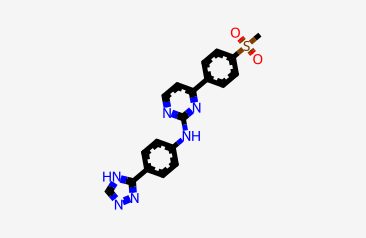 CS(=O)(=O)c1ccc(-c2ccnc(Nc3ccc(-c4nnc[nH]4)cc3)n2)cc1